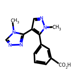 Cn1cnnc1-c1cnn(C)c1-c1cccc(C(=O)O)c1